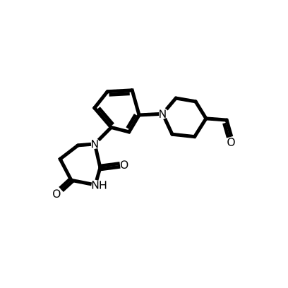 O=CC1CCN(c2cccc(N3CCC(=O)NC3=O)c2)CC1